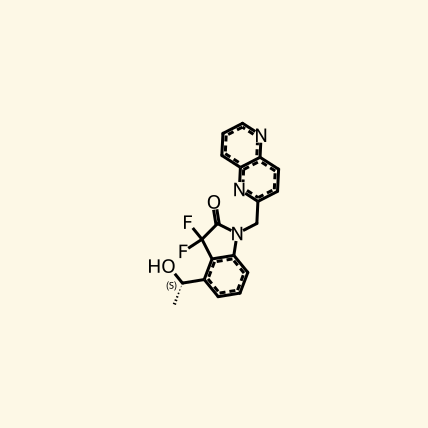 C[C@H](O)c1cccc2c1C(F)(F)C(=O)N2Cc1ccc2ncccc2n1